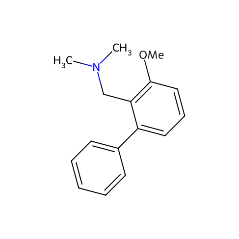 COc1cccc(-c2ccccc2)c1CN(C)C